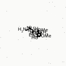 CCSC(NC(=O)C(S)c1nc(CN)no1)c1c(O)cc(OC)c(C)c1C(=O)OC